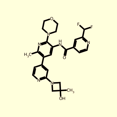 Cc1nc(N2CCOCC2)c(NC(=O)c2ccnc(C(F)F)c2)cc1-c1ccnc(N2CC(C)(O)C2)c1